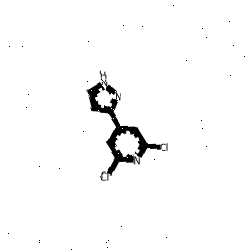 Clc1cc(-c2cc[nH]n2)cc(Cl)n1